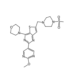 COc1ncc(-c2nc(N3CCOCC3)c3sc(CN4CCN(S(C)(=O)=O)CC4)cc3n2)cn1